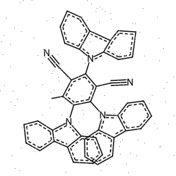 Cc1c(C#N)c(-n2c3ccccc3c3ccccc32)c(C#N)c(-n2c3ccccc3c3ccccc32)c1-n1c2ccccc2c2ccccc21